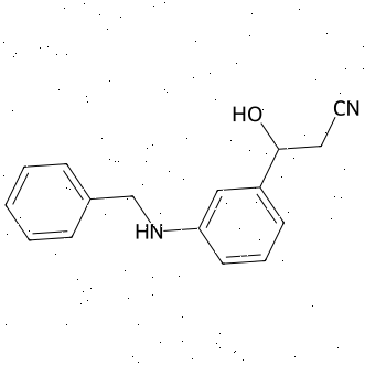 N#CCC(O)c1cccc(NCc2ccccc2)c1